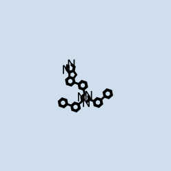 c1ccc(-c2cccc(-c3nc(-c4cccc(-c5ccccc5)c4)nc(-c4cccc(-c5cccc6c5Cc5cncnc5-6)c4)n3)c2)cc1